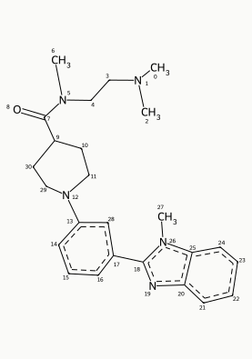 CN(C)CCN(C)C(=O)C1CCN(c2cccc(-c3nc4ccccc4n3C)c2)CC1